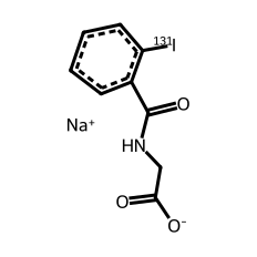 O=C([O-])CNC(=O)c1ccccc1[131I].[Na+]